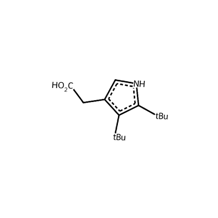 CC(C)(C)c1[nH]cc(CC(=O)O)c1C(C)(C)C